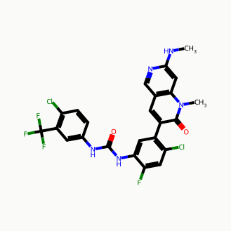 CNc1cc2c(cn1)cc(-c1cc(NC(=O)Nc3ccc(Cl)c(C(F)(F)F)c3)c(F)cc1Cl)c(=O)n2C